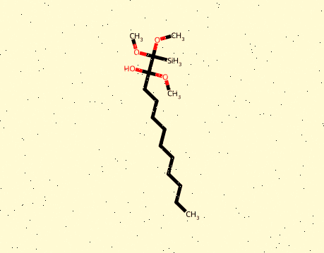 CCCCCCCCCCC(O)(OC)C([SiH3])(OC)OC